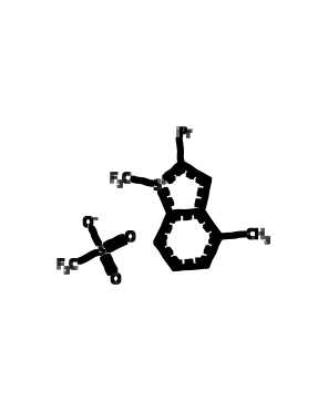 Cc1cccc2c1cc(C(C)C)[s+]2C(F)(F)F.O=S(=O)([O-])C(F)(F)F